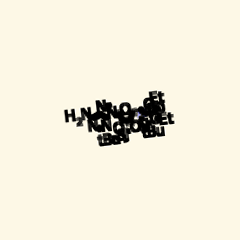 CCOP(=O)(/C=C/[C@H]1O[C@@H](n2cnc3c(N)ncnc32)[C@H](O[Si](C)(C)C(C)(C)C)[C@@H]1O[Si](C)(C)C(C)(C)C)OCC